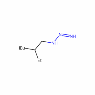 CCC(C)C(CC)CNN=N